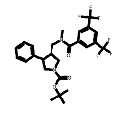 CN(C[C@H]1CN(C(=O)OC(C)(C)C)CC1c1ccccc1)C(=O)c1cc(C(F)(F)F)cc(C(F)(F)F)c1